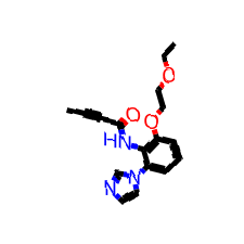 CC#CC(=O)Nc1c(OCCOCC)cccc1-n1ccnc1